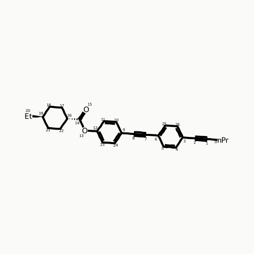 CCCC#Cc1ccc(C#Cc2ccc(OC(=O)[C@H]3CC[C@H](CC)CC3)cc2)cc1